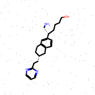 NC[C@H](CCCCO)c1ccc2c(c1)CC[C@@H](CCc1ncccn1)C2